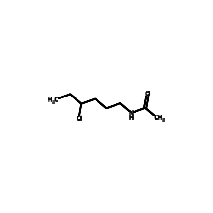 CCC(Cl)CCCNC(C)=O